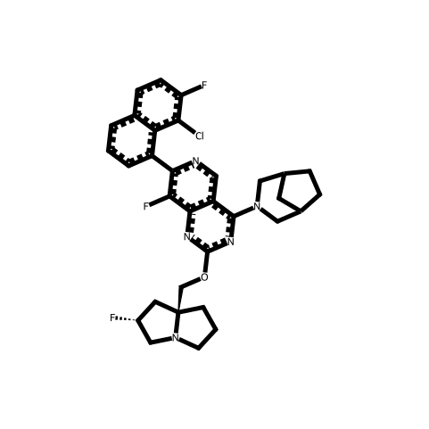 Fc1ccc2cccc(-c3ncc4c(N5CC6CCC(C6)C5)nc(OC[C@@]56CCCN5C[C@H](F)C6)nc4c3F)c2c1Cl